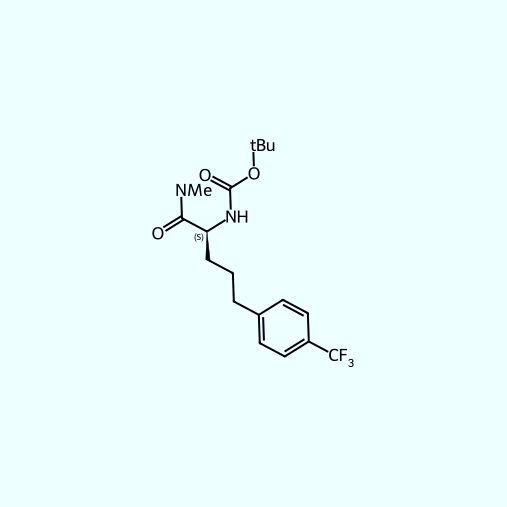 CNC(=O)[C@H](CCCc1ccc(C(F)(F)F)cc1)NC(=O)OC(C)(C)C